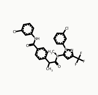 CC(C(=O)N(C)c1cc(C(F)(F)F)nn1-c1cccc(Cl)c1)c1ccc(C(=O)Nc2cccc(Cl)c2)cc1